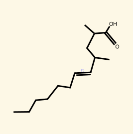 CCCCCC/C=C/C(C)CC(C)C(=O)O